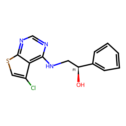 O[C@@H](CNc1ncnc2scc(Cl)c12)c1ccccc1